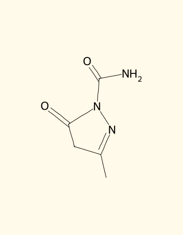 CC1=NN(C(N)=O)C(=O)C1